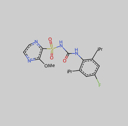 COc1nccnc1S(=O)(=O)NC(=O)Nc1c(C(C)C)cc(F)cc1C(C)C